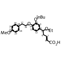 CCCCOc1cc(C(CC=CC(=O)O)OCC)ccc1OCCc1ccc(OC)cc1